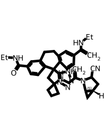 C=C(NCC)c1ccc2c(c1)CCc1cc(C(=O)NCC)ccc1C2(CC1(NCC(=C)N2C(C#N)C[C@@H]3CC32)CCC1)c1nnn[nH]1